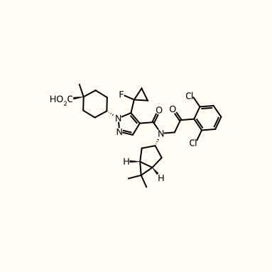 CC1(C)[C@@H]2C[C@H](N(CC(=O)c3c(Cl)cccc3Cl)C(=O)c3cnn([C@H]4CC[C@](C)(C(=O)O)CC4)c3C3(F)CC3)C[C@@H]21